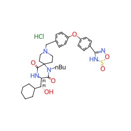 CCCCN1C(=O)[C@@H]([C@H](O)C2CCCCC2)NC(=O)C12CCN(Cc1ccc(Oc3ccc(C4=NOS(=O)N4)cc3)cc1)CC2.Cl